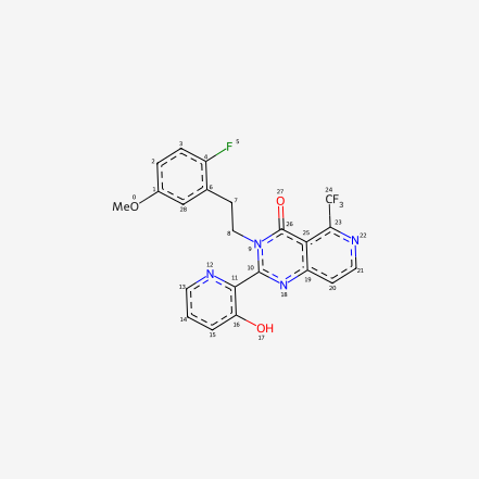 COc1ccc(F)c(CCn2c(-c3ncccc3O)nc3ccnc(C(F)(F)F)c3c2=O)c1